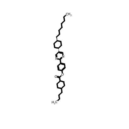 CCCCCCCC[C@H]1CC[C@H](c2cnc(-c3ccc(OC(=O)C4CCC(CCCC)CC4)cc3)nc2)CC1